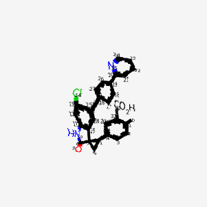 Cc1ccc(C2CC23C(=O)Nc2cc(Cl)c(-c4ccc(-c5ccccn5)cc4)cc23)cc1C(=O)O